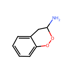 NC1Cc2ccccc2OO1